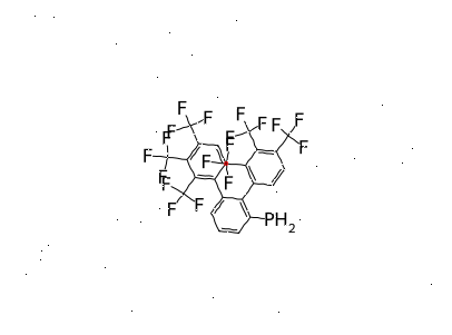 FC(F)(F)c1ccc(-c2cccc(P)c2-c2ccc(C(F)(F)F)c(C(F)(F)F)c2C(F)(F)F)c(C(F)(F)F)c1C(F)(F)F